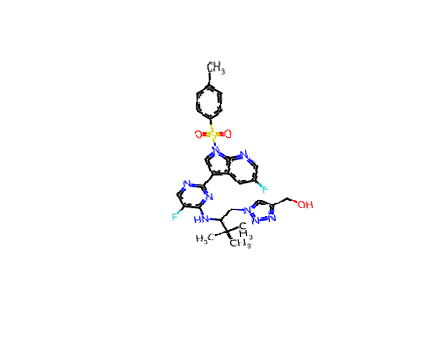 Cc1ccc(S(=O)(=O)n2cc(-c3ncc(F)c(NC(Cn4cc(CO)nn4)C(C)(C)C)n3)c3cc(F)cnc32)cc1